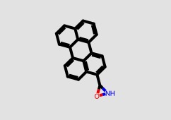 c1cc2cccc3c4ccc(C5NO5)c5cccc(c(c1)c23)c54